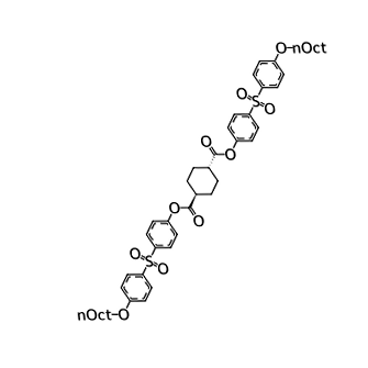 CCCCCCCCOc1ccc(S(=O)(=O)c2ccc(OC(=O)[C@H]3CC[C@H](C(=O)Oc4ccc(S(=O)(=O)c5ccc(OCCCCCCCC)cc5)cc4)CC3)cc2)cc1